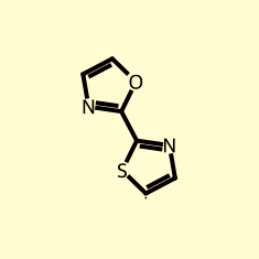 [c]1cnc(-c2ncco2)s1